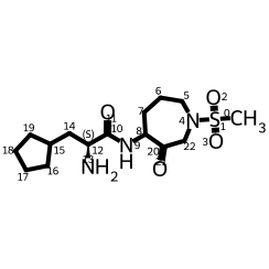 CS(=O)(=O)N1CCCC(NC(=O)[C@@H](N)CC2CCCC2)C(=O)C1